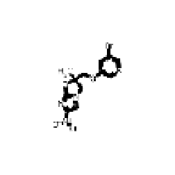 CC1(COc2cncc(Br)c2)Cn2cc([N+](=O)[O-])nc2O1